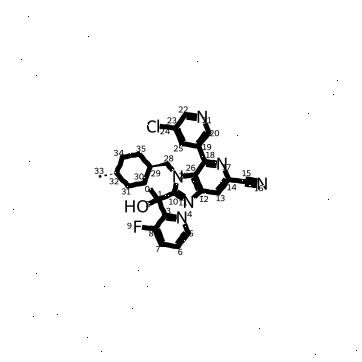 CC(O)(c1ncccc1F)c1nc2cc(C#N)nc(-c3cncc(Cl)c3)c2n1C[C@H]1CC[C@H](C)CC1